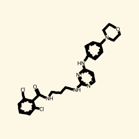 O=C(NCCCNc1nccc(Nc2ccc(N3CCOCC3)cc2)n1)c1c(Cl)cccc1Cl